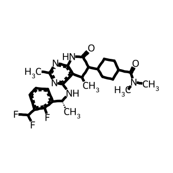 Cc1nc2c(c(N[C@H](C)c3cccc(C(F)F)c3F)n1)C(C)C(C1CCC(C(=O)N(C)C)CC1)C(=O)N2